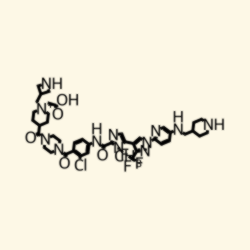 Cn1c(-c2cn(-c3ccc(NCC4CCNCC4)cn3)nc2C(F)(F)F)cnc1C(=O)Nc1ccc(C(=O)N2CCN(C(=O)C3CC[N+](CC(=O)O)(CC4CNC4)CC3)CC2)c(Cl)c1